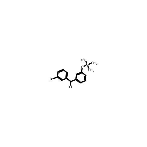 CC(C)(C)[Si](C)(C)Oc1cccc(C(Cl)c2cccc(Br)c2)c1